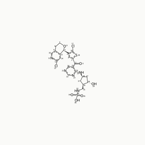 O=C(c1cc([C@@H]2OCCc3cnc(Cl)cc32)c(Cl)s1)c1cncnc1N[C@H]1C[C@H](O)[C@@H]([CH]NS(=O)(=O)O)C1